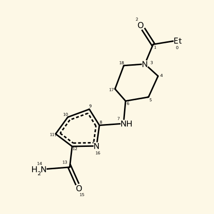 CCC(=O)N1CCC(Nc2cc[c]c(C(N)=O)n2)CC1